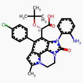 Cc1cc2c(-c3ccc(Cl)cc3)c([C@H](OC(C)(C)C)C(=O)O)c3c4c2n1CCn4c(=O)n3-c1ccccc1N